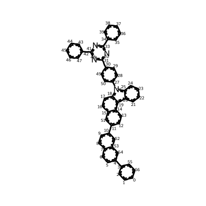 c1ccc(-c2ccc3ccc(-c4ccc5c(ccc6c5c5ccccc5n6-c5ccc(-c6nc(-c7ccccc7)nc(-c7ccccc7)n6)cc5)c4)cc3c2)cc1